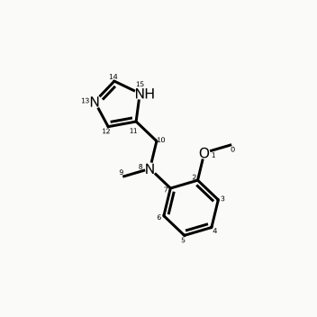 COc1ccccc1N(C)Cc1cnc[nH]1